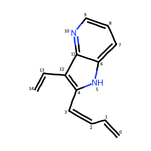 C=C/C=C\c1[nH]c2cccnc2c1C=C